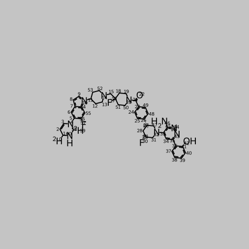 [2H]C1C=CN(c2cc3ccn(C4CCN(CC5(F)CCN(C(=O)c6ccc([C@H]7C[C@@H](F)CN(c8cc(-c9ccccc9O)nnc8N)C7)cc6)CC5)CC4)c3cc2F)C([2H])N1